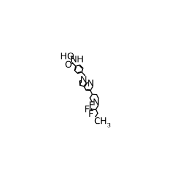 CCCC(CN1CCC(c2cnc3c(ccn3Cc3ccc(C(=O)NO)cc3)c2)CC1)C(F)(F)F